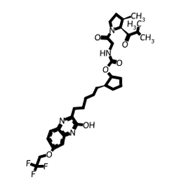 CC(C)C(=O)[C@@H]1[C@H](C)CCN1C(=O)CNC(=O)OC1CCC[C@H]1CCCCCc1nc2ccc(OCC(F)(F)F)cc2nc1O